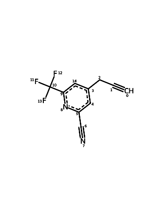 C#CCc1cc(C#N)nc(C(F)(F)F)c1